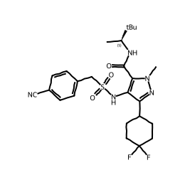 C[C@H](NC(=O)c1c(NS(=O)(=O)Cc2ccc(C#N)cc2)c(C2CCC(F)(F)CC2)nn1C)C(C)(C)C